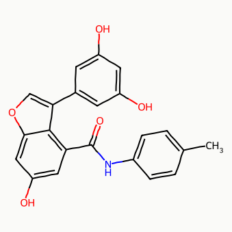 Cc1ccc(NC(=O)c2cc(O)cc3occ(-c4cc(O)cc(O)c4)c23)cc1